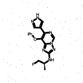 CC(C)Oc1c(-c2cn[nH]c2)ncn2nc(N[C@@H](C)CF)nc12